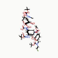 CN(C(=O)OC(C)(C)C)[C@@H]1[C@@H](O)[C@@H](ON(C(=O)O)C2C[C@H](NC(=O)OC(C)(C)C)[C@@H](O[C@H]3O[C@H](CN(CCF)C(=O)OC(C)(C)C)CC[C@H]3NC(=O)OC(C)(C)C)[C@@H](O)C2)OC[C@]1(C)O